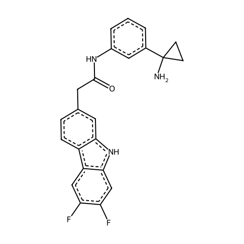 NC1(c2cccc(NC(=O)Cc3ccc4c(c3)[nH]c3cc(F)c(F)cc34)c2)CC1